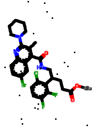 Cc1c(N2CCCCC2)nc2ccc(Br)cc2c1C(=O)NCC(CCC(=O)OC(C)(C)C)c1c(Cl)ccc(F)c1F